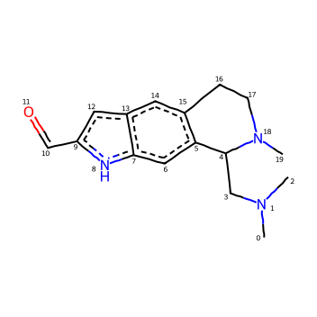 CN(C)CC1c2cc3[nH]c(C=O)cc3cc2CCN1C